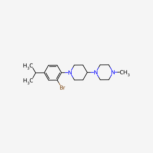 CC(C)c1ccc(N2CCC(N3CCN(C)CC3)CC2)c(Br)c1